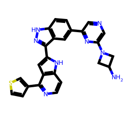 NC1CN(c2cncc(-c3ccc4[nH]nc(-c5cc6c(-c7ccsc7)nccc6[nH]5)c4c3)n2)C1